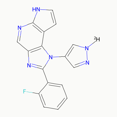 [2H]n1cc(-n2c(-c3ccccc3F)nc3cnc4[nH]ccc4c32)cn1